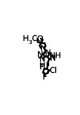 C[C@H]1CC2(CCN(c3nc4[nH]nc(C#Cc5c(F)cc(F)cc5Cl)c4c4[nH]cnc34)CC2)CO1